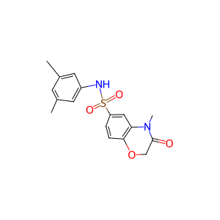 Cc1cc(C)cc(NS(=O)(=O)c2ccc3c(c2)N(C)C(=O)CO3)c1